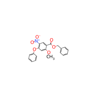 COc1cc(Oc2ccccc2)c([N+](=O)[O-])cc1C(=O)OCc1ccccc1